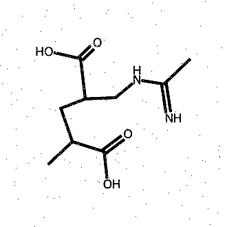 CC(=N)NCC(CC(C)C(=O)O)C(=O)O